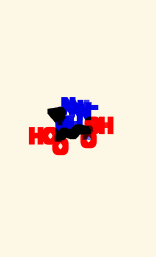 N[C@@H](CCC(=O)O)C(=O)O.[N-]=[N+]=NC1CC1